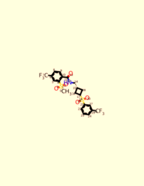 CS(=O)(=O)c1cc(C(F)(F)F)ccc1C(=O)NC[C@H]1C[C@H](S(=O)(=O)c2cccc(C(F)(F)F)c2)C1